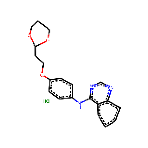 Cl.c1ccc2c(Nc3ccc(OCCC4OCCCO4)cc3)ncnc2c1